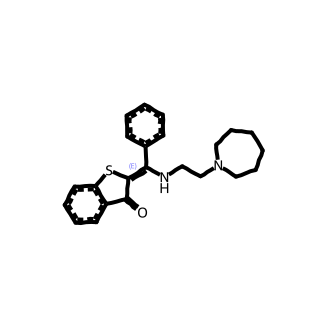 O=C1/C(=C(\NCCN2CCCCCC2)c2ccccc2)Sc2ccccc21